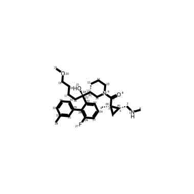 CNC[C@@H]1C[C@@]1(C)C(=O)N1CCC[C@@H]([C@@](O)(CCCCOC)c2cccc(F)c2-c2cccc(C)c2)C1